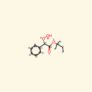 CCC(C)(C)OC(=O)C(OO)c1ccccc1